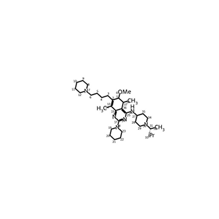 COC1C(CCCCN2CCCCC2)=C(C)c2nc(N3CCCCC3)nc(NC3CCN([C@H](C)C(C)C)CC3)c2C1C